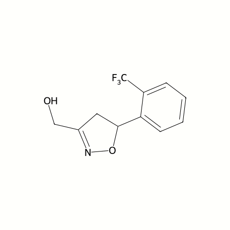 OCC1=NOC(c2ccccc2C(F)(F)F)C1